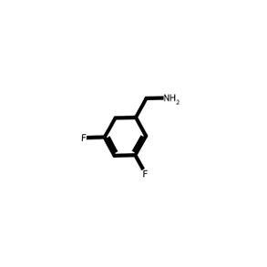 NCC1C=C(F)C=C(F)C1